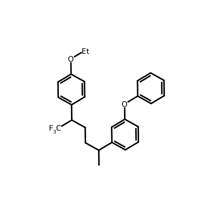 CCOc1ccc(C(CCC(C)c2cccc(Oc3ccccc3)c2)C(F)(F)F)cc1